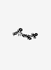 O=C(N[C@@H](CCN1CCNC(CN(CCCCN2C(=O)c3ccccc3C2=O)Cc2ccccn2)C1)c1ccccc1)C1CCC(F)(F)CC1